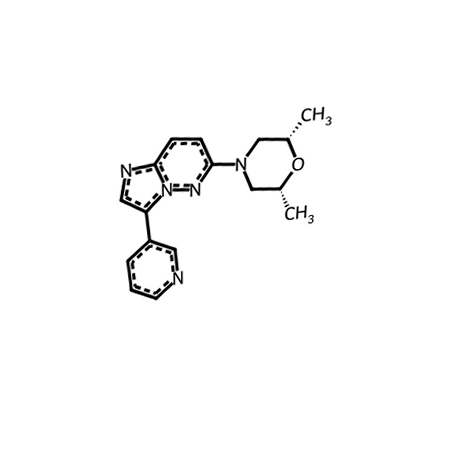 C[C@@H]1CN(c2ccc3ncc(-c4cccnc4)n3n2)C[C@H](C)O1